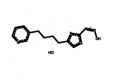 Cl.O/N=C\c1nc(CCCCc2cccnc2)cs1